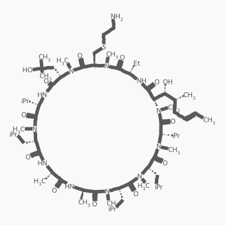 C/C=C/C[C@@H](C)[C@@H](O)[C@H]1C(=O)N[C@@H](CC)C(=O)N(C)[C@H](CSCCN)C(=O)N(C)[C@@H](CC(C)(C)O)C(=O)N[C@@H](C(C)C)C(=O)N(C)[C@@H](CC(C)C)C(=O)N[C@@H](C)C(=O)N[C@H](C)C(=O)N(C)[C@@H](CC(C)C)C(=O)N(C)[C@@H](CC(C)C)C(=O)N(C)[C@@H](C(C)C)C(=O)N1C